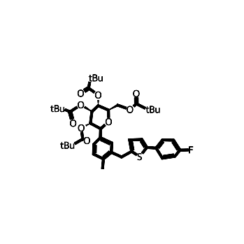 Cc1ccc(C2O[C@H](COC(=O)C(C)(C)C)[C@@H](OC(=O)C(C)(C)C)[C@H](OC(=O)C(C)(C)C)[C@H]2OC(=O)C(C)(C)C)cc1Cc1ccc(-c2ccc(F)cc2)s1